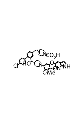 COC(=O)c1ccc(N2CCC(C(O)c3cc(CN4CCN(C(=O)O)CC4)ccc3-c3ccc(Cl)cc3)CC2)cc1Oc1cnc2[nH]ccc2c1